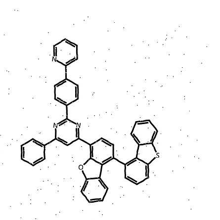 c1ccc(-c2cc(-c3ccc(-c4cccc5sc6ccccc6c45)c4c3oc3ccccc34)nc(-c3ccc(-c4ccccn4)cc3)n2)cc1